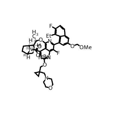 CCc1c(F)ccc2cc(OCOC)cc(-c3nc4c5c(nc(OCC6(CN7CCOCC7)CC6)nc5c3F)N3C[C@H]5CC[C@@H]([C@H]3[C@H](C)O4)N5C(=O)OC(C)(C)C)c12